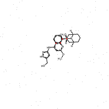 COc1cc(Nc2cc(CO)[nH]n2)nc(N(C)[C@@H]2C[C@H]3CCC[C@@H](C2)N3S(=O)(=O)c2ccccc2)n1